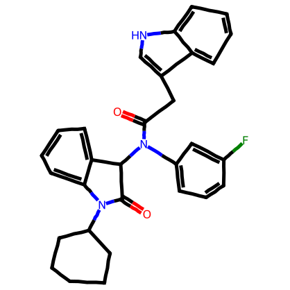 O=C1C(N(C(=O)Cc2c[nH]c3ccccc23)c2cccc(F)c2)c2ccccc2N1C1CCCCC1